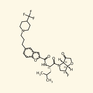 CC(C)C[C@H](NC(=O)c1cc2cc(CCCN3CCC(C(F)(F)F)CC3)ccc2o1)C(=O)N1C[C@H](F)[C@H]2OCC(=O)[C@H]21